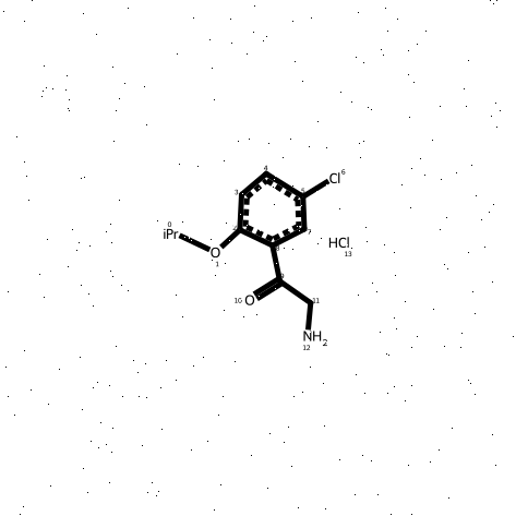 CC(C)Oc1ccc(Cl)cc1C(=O)CN.Cl